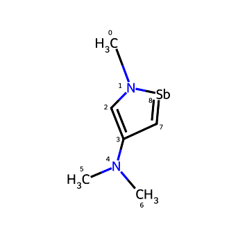 C[N]1C=C(N(C)C)[CH]=[Sb]1